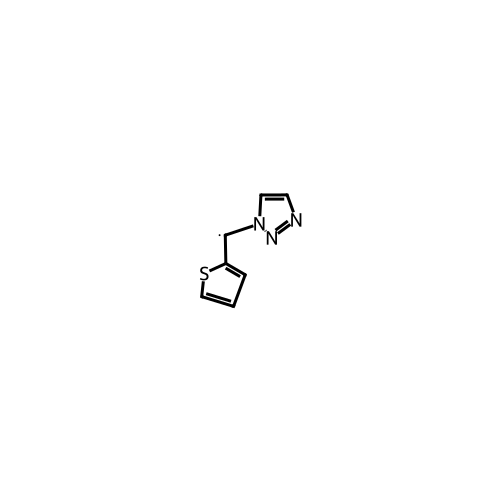 [CH](c1cccs1)n1ccnn1